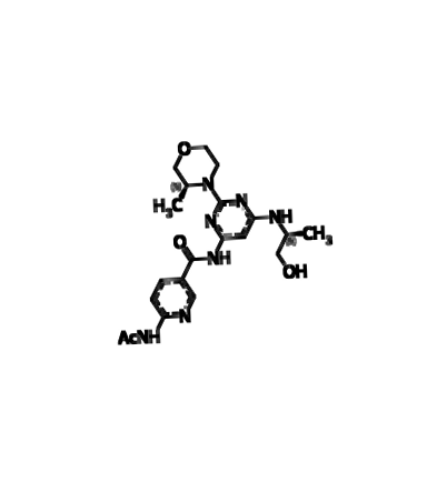 CC(=O)Nc1ccc(C(=O)Nc2cc(N[C@@H](C)CO)nc(N3CCOC[C@@H]3C)n2)cn1